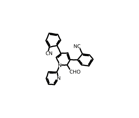 N#Cc1ccccc1C1=CN(c2ccccn2)C(C=O)C(c2ccccc2C#N)=C1